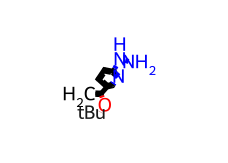 C=C(OC(C)(C)C)c1ccc(NN)nc1